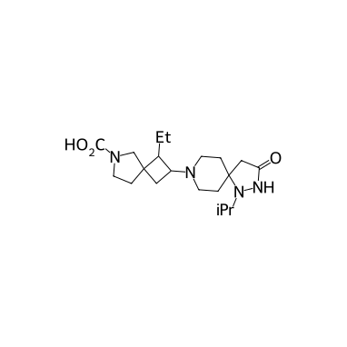 CCC1C(N2CCC3(CC2)CC(=O)NN3C(C)C)CC12CCN(C(=O)O)C2